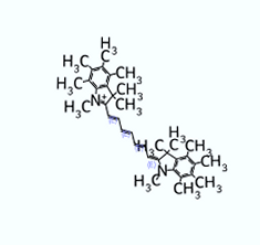 Cc1c(C)c(C)c2c(c1C)N(C)/C(=C/C=C/C=C/C=C/C1=[N+](C)c3c(C)c(C)c(C)c(C)c3C1(C)C)C2(C)C